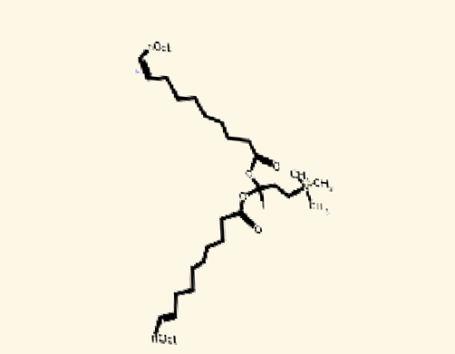 CCCCCCCCC=CCCCCCCCC(=O)OC(I)(CC[N+](C)(C)C)OC(=O)CCCCCCC/C=C\CCCCCCCC